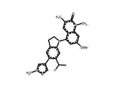 COc1cc(N2CCc3cc(-c4cnn(C)c4)c(C(F)F)cc32)c2cc(C)c(=O)n(C)c2c1